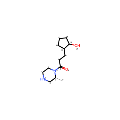 C[C@@H]1CNCCN1C(=O)CCC1CCCC1O